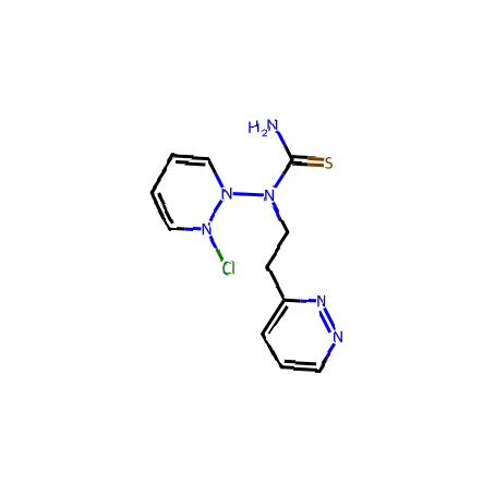 NC(=S)N(CCc1cccnn1)N1C=CC=CN1Cl